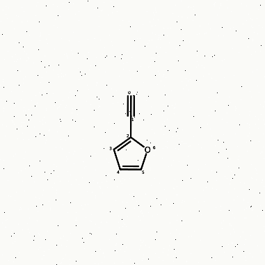 [C]#Cc1ccco1